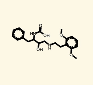 COc1cccc(OC)c1CCNCC(O)C(Cc1ccccc1)NC(=O)O